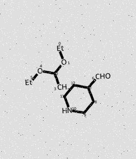 CCOC(C)OCC.O=CC1CCNCC1